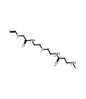 C=COCC(=O)NCCOCCNC(=O)CCNC